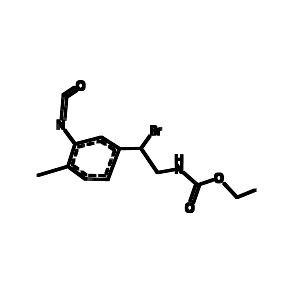 CCOC(=O)NCC(Br)c1ccc(C)c(N=C=O)c1